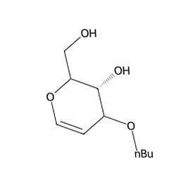 CCCCOC1C=COC(CO)[C@@H]1O